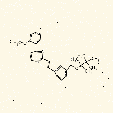 COc1ccccc1-c1ccnc(/C=C/c2cccc(CO[Si](C)(C)C(C)(C)C)c2)n1